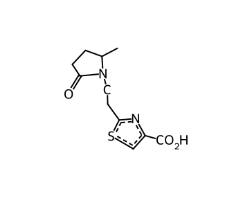 CC1CCC(=O)N1CCc1nc(C(=O)O)cs1